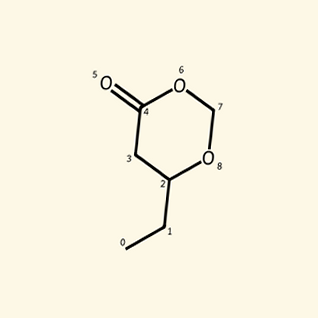 CCC1CC(=O)OCO1